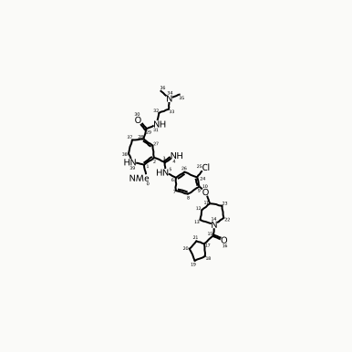 CNC1=C(C(=N)Nc2ccc(OC3CCN(C(=O)C4CCCC4)CC3)c(Cl)c2)C=C(C(=O)NCCN(C)C)CCN1